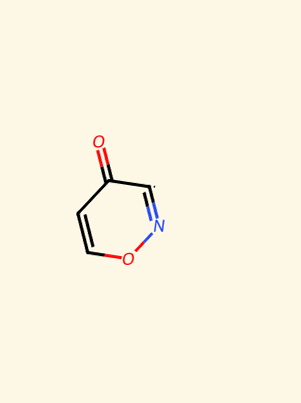 O=c1[c]nocc1